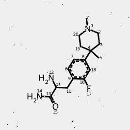 CN1CCC(C)(c2ccc(CC(N)C(N)=O)c(F)c2)CC1